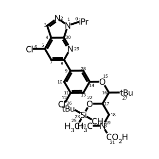 CC(C)n1ncc2c(Cl)cc(-c3cc(Cl)cc(OC(C(CN(C)C(=O)O)O[Si](C)(C)C(C)(C)C)C(C)(C)C)c3)nc21